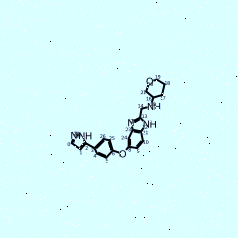 c1cc(-c2ccc(Oc3ccc4[nH]c(CNC5CCCOC5)nc4c3)cc2)[nH]n1